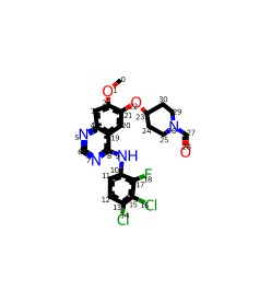 COc1cc2ncnc(Nc3ccc(Cl)c(Cl)c3F)c2cc1OC1CCN(C=O)CC1